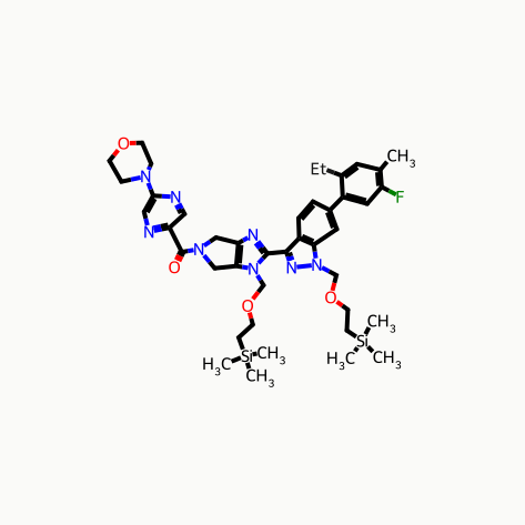 CCc1cc(C)c(F)cc1-c1ccc2c(-c3nc4c(n3COCC[Si](C)(C)C)CN(C(=O)c3cnc(N5CCOCC5)cn3)C4)nn(COCC[Si](C)(C)C)c2c1